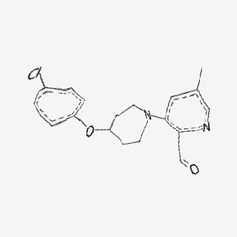 Cc1cnc(C=O)c(N2CCC(Oc3ccc(Cl)cc3)CC2)c1